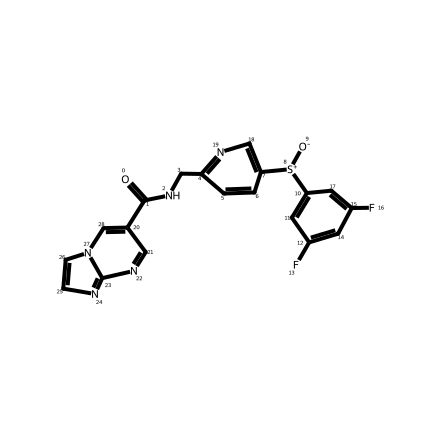 O=C(NCc1ccc([S+]([O-])c2cc(F)cc(F)c2)cn1)c1cnc2nccn2c1